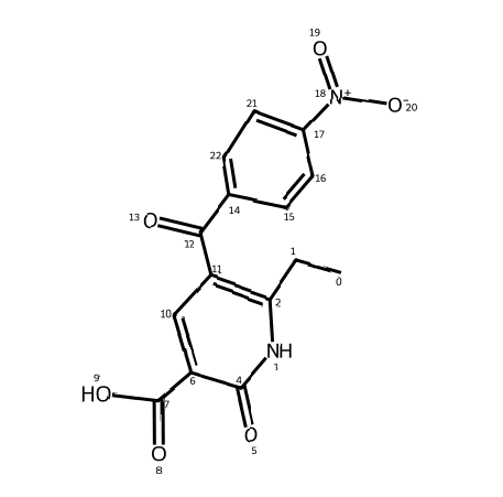 CCc1[nH]c(=O)c(C(=O)O)cc1C(=O)c1ccc([N+](=O)[O-])cc1